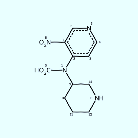 O=C(O)N(c1ccncc1[N+](=O)[O-])C1CCCNC1